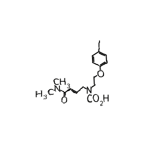 CN(C)C(=O)/C=C/CN(CCOc1ccc(I)cc1)C(=O)O